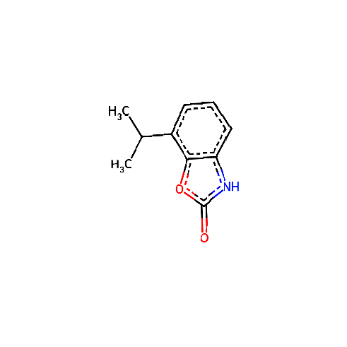 CC(C)c1cccc2[nH]c(=O)oc12